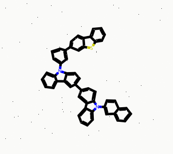 c1cc(-c2ccc3c(c2)sc2ccccc23)cc(-n2c3ccccc3c3cc(-c4ccc5c(c4)c4ccccc4n5-c4ccc5ccccc5c4)ccc32)c1